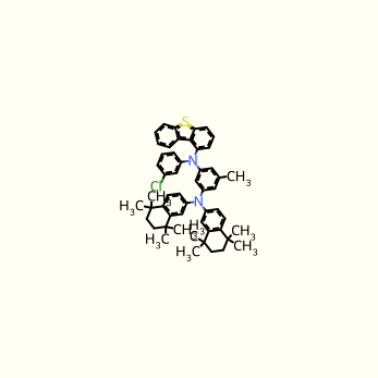 Cc1cc(N(c2ccc3c(c2)C(C)(C)CCC3(C)C)c2ccc3c(c2)C(C)(C)CCC3(C)C)cc(N(c2cccc(Cl)c2)c2cccc3sc4ccccc4c23)c1